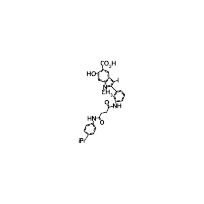 CC(C)c1ccc(NC(=O)CCC(=O)Nc2cccc(-c3c(I)c4cc(C(=O)O)c(O)cc4n3C)c2)cc1